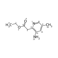 CCOC(=O)Cc1ncc(C)cc1N